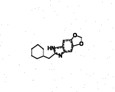 c1c2c(cc3[nH]c(CC4CCCCC4)nc13)OCO2